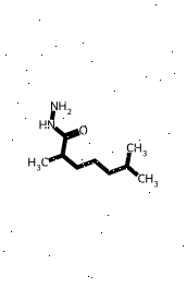 CC(C)CCCC(C)C(=O)NN